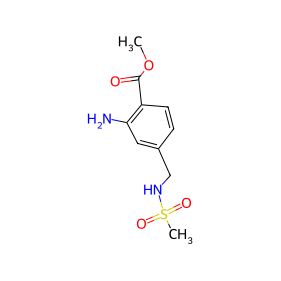 COC(=O)c1ccc(CNS(C)(=O)=O)cc1N